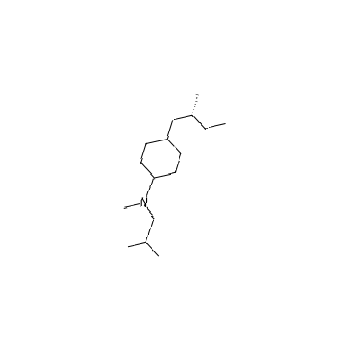 CC[C@@H](C)CC1CCC(N(C)CC(C)C)CC1